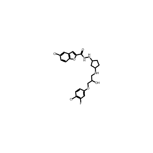 O=C(NNC1CCC(NCC(O)COc2ccc(Cl)c(F)c2)C1)c1cc2cc(Cl)ccc2o1